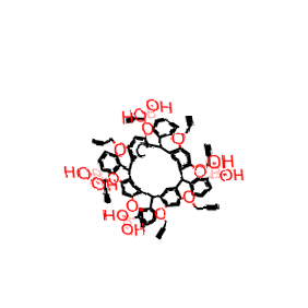 C#CCOc1cc(OCC#C)c2cc1C(c1cccc(B(O)O)c1)c1cc(c(OCC#C)cc1OCC#C)C(c1cccc(B(O)O)c1)c1cc(c(OCC#C)cc1OCC#C)C(c1cccc(B(O)O)c1)c1cc(c(OCC#C)cc1OCC#C)C2c1cccc(B(O)O)c1